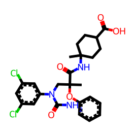 CC1(NC(=O)C(C)(CN(C(N)=O)c2cc(Cl)cc(Cl)c2)Oc2ccccc2)CCC(C(=O)O)CC1